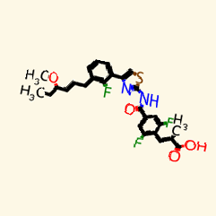 CCC(CCCc1cccc(-c2csc(NC(=O)c3cc(F)c(C=C(C)C(=O)O)c(F)c3)n2)c1F)OC